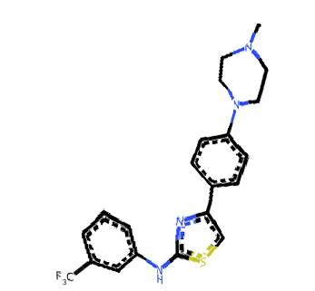 CN1CCN(c2ccc(-c3csc(Nc4cccc(C(F)(F)F)c4)n3)cc2)CC1